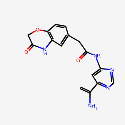 C=C(N)c1cc(NC(=O)Cc2ccc3c(c2)NC(=O)CO3)ncn1